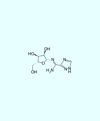 NC(=N[C@@H]1O[C@H](CO)[C@@H](O)[C@H]1O)c1nc[nH]n1